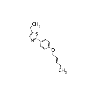 CC/C=C/COc1ccc(-c2ncc(CC)s2)cc1